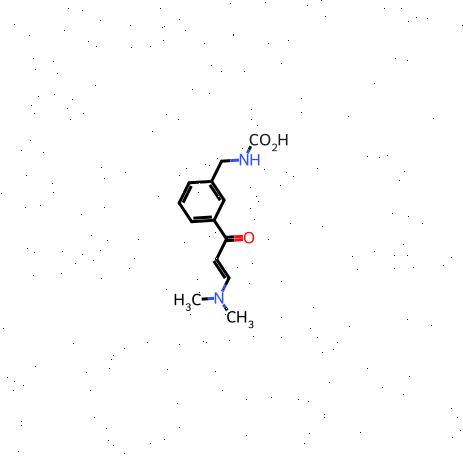 CN(C)/C=C/C(=O)c1cccc(CNC(=O)O)c1